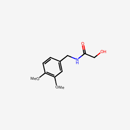 COc1ccc(CNC(=O)CO)cc1OC